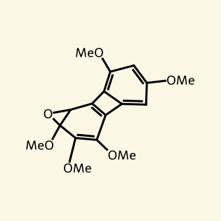 COC1=C(OC)C2(OC)OC2C2=C1c1cc(OC)cc(OC)c12